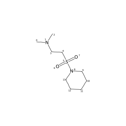 CN(C)CCS(=O)(=O)N1CC[CH]CC1